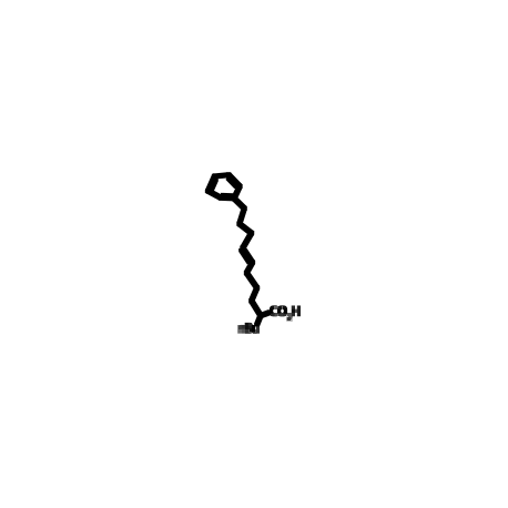 CCCCC(CCC/C=C/CCCc1ccccc1)C(=O)O